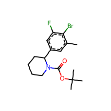 Cc1cc(C2CCCCN2C(=O)OC(C)(C)C)cc(F)c1Br